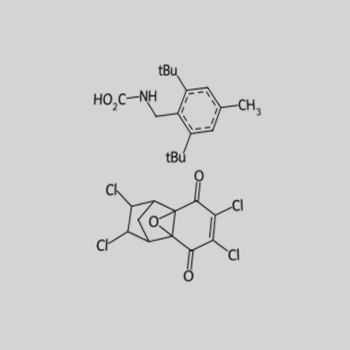 Cc1cc(C(C)(C)C)c(CNC(=O)O)c(C(C)(C)C)c1.O=C1C(Cl)=C(Cl)C(=O)C23OC12C1CC3C(Cl)C1Cl